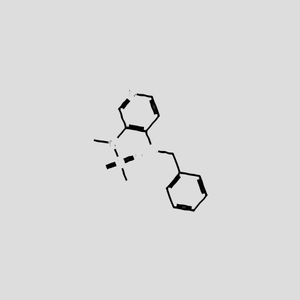 CN(c1cnccc1OCc1ccccc1)S(C)(=O)=O